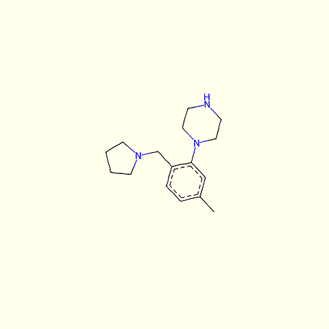 Cc1ccc(CN2CCCC2)c(N2CCNCC2)c1